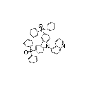 O=P(c1ccccc1)(c1ccccc1)c1ccc2c(c1)c1cc(P(=O)(c3ccccc3)c3ccccc3)ccc1n2-c1cccc2ncccc12